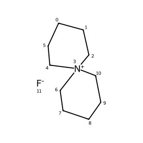 C1CC[N+]2(CC1)CCCCC2.[F-]